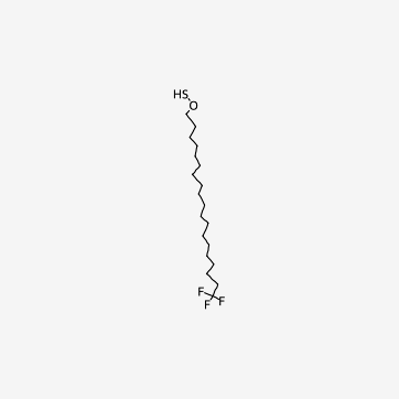 FC(F)(F)CCCCCCCCCCCCCCCCCCOS